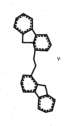 [V].c1ccc2c(c1)Cc1c(CCc3cccc4c3Cc3ccccc3-4)cccc1-2